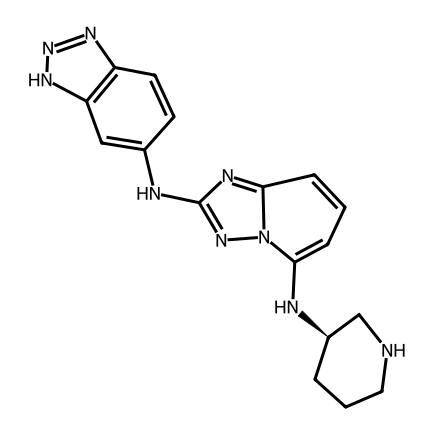 c1cc(N[C@@H]2CCCNC2)n2nc(Nc3ccc4nn[nH]c4c3)nc2c1